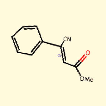 COC(=O)/C=C(\C#N)c1ccccc1